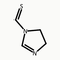 S=[C]N1C=NCC1